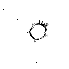 CCC1NCCNCCNCCNCCN(CC)C1(CC)CC